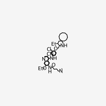 CCOc1cc2ncc(C#N)c(Nc3ccc(OCC4NCC5(CCCCCCCCC5)CC4CC)c(Cl)c3)c2cc1NC(=O)CCCN(C)C